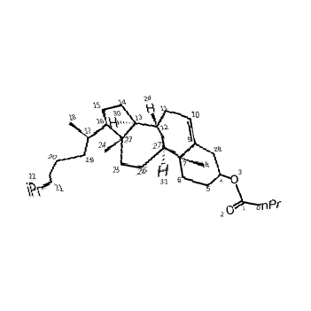 CCCC(=O)OC1CC[C@@]2(C)C(=CC[C@H]3[C@@H]4CC[C@H]([C@H](C)CCCC(C)C)[C@@]4(C)CC[C@@H]32)C1